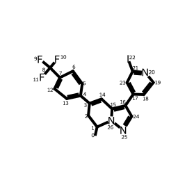 CC1CC(c2ccc(C(F)(F)F)cc2)=Cc2c(-c3ccnc(I)c3)cnn21